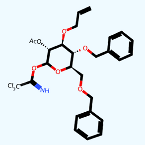 C=CCO[C@H]1[C@H](OCc2ccccc2)[C@@H](COCc2ccccc2)OC(OC(=N)C(Cl)(Cl)Cl)[C@@H]1OC(C)=O